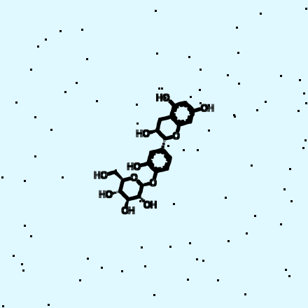 OC[C@H]1O[C@@H](Oc2ccc([C@H]3Oc4cc(O)cc(O)c4C[C@@H]3O)cc2O)[C@H](O)[C@@H](O)[C@@H]1O